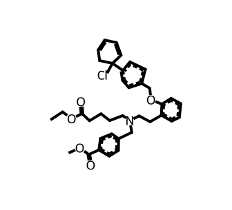 CCOC(=O)CCCCN(CCc1ccccc1OCc1ccc(C2(Cl)C=CC=CC2)cc1)Cc1ccc(C(=O)OC)cc1